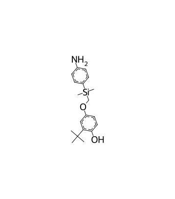 CC(C)(C)c1cc(OC[Si](C)(C)c2ccc(N)cc2)ccc1O